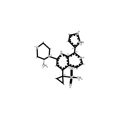 C[C@@H]1COCCN1c1cc(C2(S(C)(=O)=O)CC2)c2ccnc(-c3ccn[nH]3)c2n1